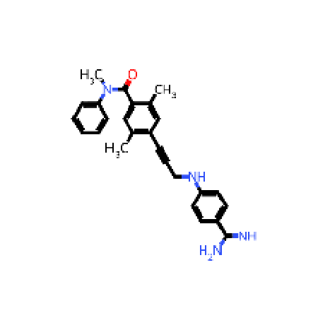 Cc1cc(C(=O)N(C)c2ccccc2)c(C)cc1C#CCNc1ccc(C(=N)N)cc1